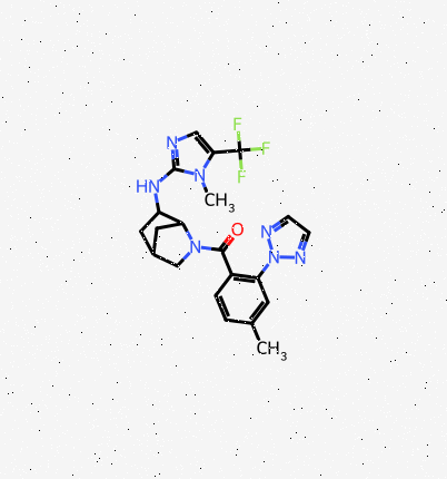 Cc1ccc(C(=O)N2CC3CC(Nc4ncc(C(F)(F)F)n4C)C2C3)c(-n2nccn2)c1